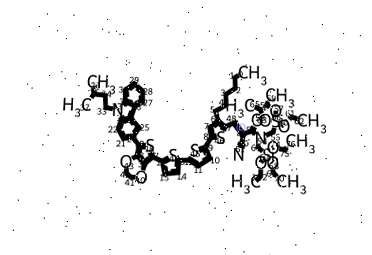 CCCCCCc1cc(-c2ccc(-c3ccc(-c4sc(-c5ccc6c(c5)c5ccccc5n6CCC(C)C)c5c4OCCO5)s3)s2)sc1/C=C(\C#N)C(=O)N(C[Si](OCC)(OCC)OCC)C[Si](OCC)(OCC)OCC